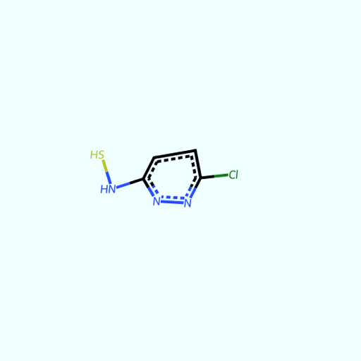 SNc1ccc(Cl)nn1